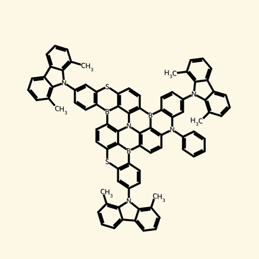 Cc1cccc2c3cccc(C)c3n(-c3ccc4c(c3)Sc3ccc5c6c3B4c3ccc4c7c3N6c3c(ccc6c3B5c3ccc(-n5c8c(C)cccc8c8cccc(C)c85)cc3N6c3ccccc3)B7c3ccc(-n5c6c(C)cccc6c6cccc(C)c65)cc3S4)c12